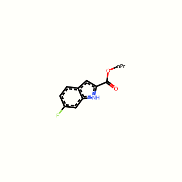 CCCOC(=O)c1cc2ccc(F)cc2[nH]1